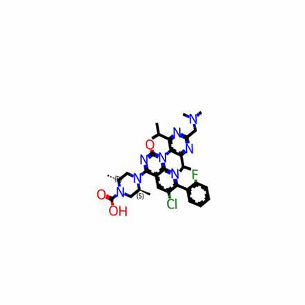 CC(C)c1nc(CN(C)C)nc(C(C)C)c1-n1c(=O)nc(N2C[C@@H](C)N(C(=O)O)C[C@@H]2C)c2cc(Cl)c(-c3ccccc3F)nc21